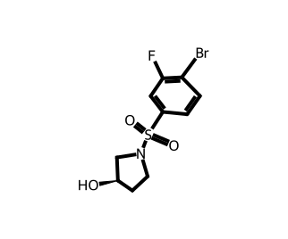 O=S(=O)(c1ccc(Br)c(F)c1)N1CC[C@@H](O)C1